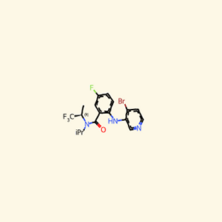 CC(C)N(C(=O)c1cc(F)ccc1Nc1cnccc1Br)[C@H](C)C(F)(F)F